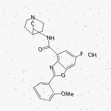 COc1ccccc1-c1nc2c(C(=O)NC3CN4CCC3CC4)cc(F)cc2o1.Cl